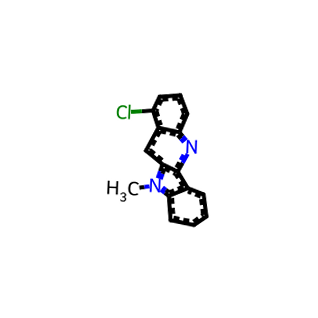 Cn1c2ccccc2c2nc3cccc(Cl)c3cc21